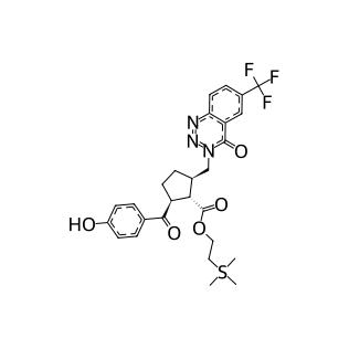 CS(C)(C)CCOC(=O)[C@H]1[C@H](Cn2nnc3ccc(C(F)(F)F)cc3c2=O)CC[C@@H]1C(=O)c1ccc(O)cc1